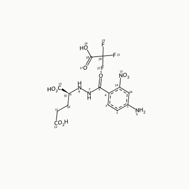 Nc1ccc(C(=O)NN[C@@H](CCC(=O)O)C(=O)O)c([N+](=O)[O-])c1.O=C(O)C(F)(F)F